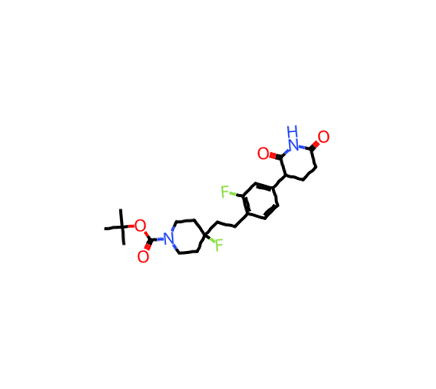 CC(C)(C)OC(=O)N1CCC(F)(CCc2ccc(C3CCC(=O)NC3=O)cc2F)CC1